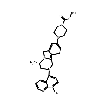 C[C@@H]1CN(c2ccc(C#N)c3ncccc23)CC2=C3CC=C(N4CCN(C(=O)OC(C)(C)C)CC4)C=C3CN21